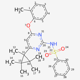 Cc1ccccc1Oc1cc(C2(C)C(C)(C)C2(C)C)nc(NS(=O)(=O)c2ccccc2)n1